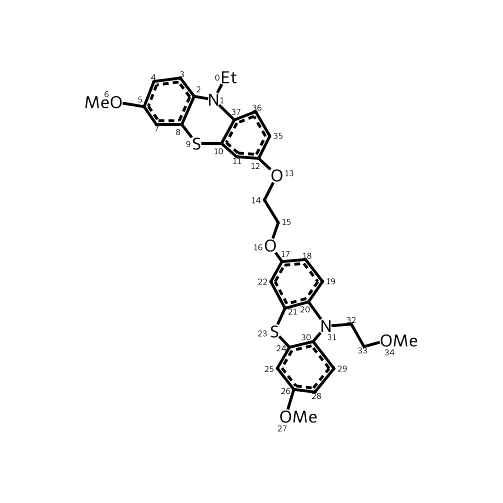 CCN1c2ccc(OC)cc2Sc2cc(OCCOc3ccc4c(c3)Sc3cc(OC)ccc3N4CCOC)ccc21